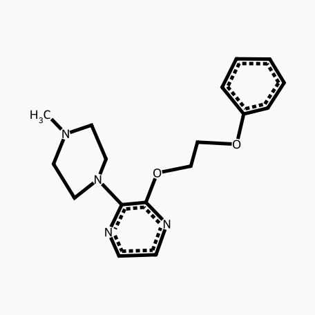 CN1CCN(c2nccnc2OCCOc2ccccc2)CC1